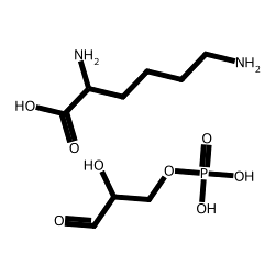 NCCCCC(N)C(=O)O.O=CC(O)COP(=O)(O)O